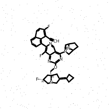 C#Cc1c(F)ccc2cccc(-c3ncc4c(N5CC6CCC(C5)N6)nc(OC[C@]56CC(=C7CCC7)CN5C[C@H](F)C6)nc4c3F)c12